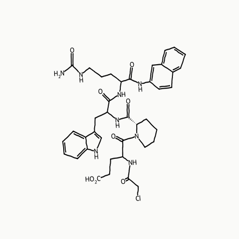 NC(=O)NCCCC(NC(=O)C(Cc1c[nH]c2ccccc12)NC(=O)[C@@H]1CCCCN1C(=O)C(CCC(=O)O)NC(=O)CCl)C(=O)Nc1ccc2ccccc2c1